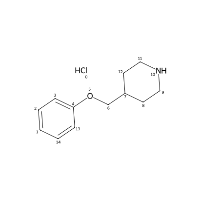 Cl.c1ccc(OCC2CCNCC2)cc1